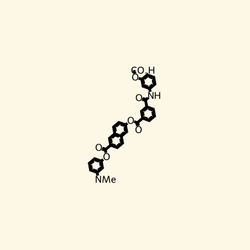 CNc1cccc(OC(=O)c2ccc3cc(OC(=O)c4cccc(C(=O)Nc5cccc(OC(=O)O)c5)c4)ccc3c2)c1